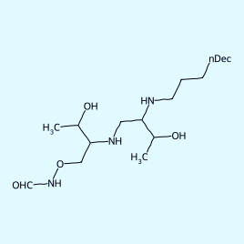 CCCCCCCCCCCCCNC(CNC(CONC=O)C(C)O)C(C)O